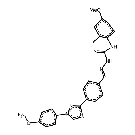 COc1ccc(NC(=S)NN=Cc2ccc(-c3ncn(-c4ccc(OC(F)(F)F)cc4)n3)cc2)c(C)c1